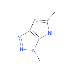 Cc1cc2nnn(C)c2[nH]1